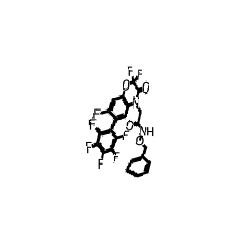 O=C(CN1C(=O)C(F)(F)Oc2cc(F)c(-c3c(F)c(F)c(F)c(F)c3F)cc21)NOCc1ccccc1